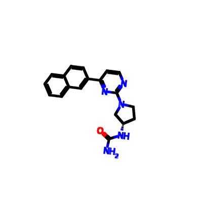 NC(=O)N[C@H]1CCN(c2nccc(-c3ccc4ccccc4c3)n2)C1